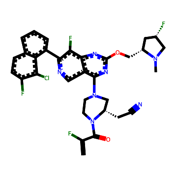 C=C(F)C(=O)N1CCN(c2nc(OC[C@@H]3C[C@H](F)CN3C)nc3c(F)c(-c4cccc5ccc(F)c(Cl)c45)ncc23)C[C@@H]1CC#N